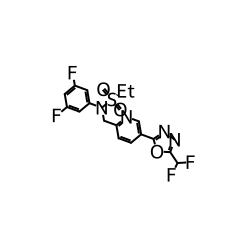 CCS(=O)(=O)N(Cc1ccc(-c2nnc(C(F)F)o2)cn1)c1cc(F)cc(F)c1